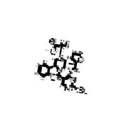 CC(C)(C)c1ncc(C(=O)N2CCSCC2c2ccccc2)c(NCc2ccco2)n1.O=C(O)C(F)(F)F